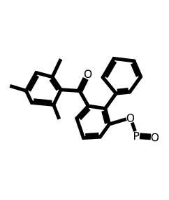 Cc1cc(C)c(C(=O)c2cccc(OP=O)c2-c2ccccc2)c(C)c1